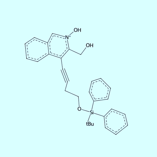 CC(C)(C)[Si](OCCC#Cc1c(CO)[n+](O)cc2ccccc12)(c1ccccc1)c1ccccc1